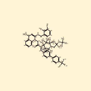 [2H]C([2H])([2H])OC([2H])([2H])CN1C([2H])([2H])C([2H])([2H])C([2H])(N(Cc2ccc(-c3ccc(C(F)(F)F)cc3)cc2)C(=O)CN2C(SCc3cccc(F)c3F)=CC(O)c3ccccc32)C([2H])([2H])C1([2H])[2H]